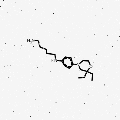 CCC1(CC)CN(c2ccc(NCCCCCN)cc2)CCO1